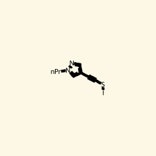 CCCn1cc(C#CSI)cn1